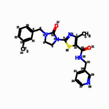 Cc1nc(N2CCN(Cc3cccc(C(F)(F)F)c3)C2=O)sc1C(=O)NCc1cccnc1